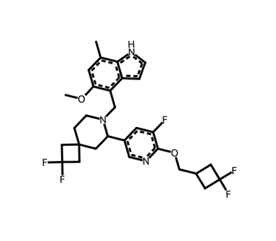 COc1cc(C)c2[nH]ccc2c1CN1CCC2(CC1c1cnc(OCC3CC(F)(F)C3)c(F)c1)CC(F)(F)C2